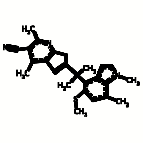 CSc1cc(C)c2c(ccn2C)c1C(C)(C)C1=Cc2c(nc(C)c(C#N)c2C)C1